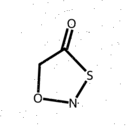 O=C1CO[N]S1